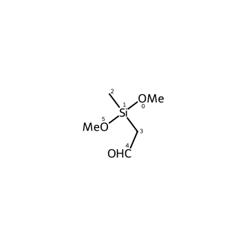 CO[Si](C)(CC=O)OC